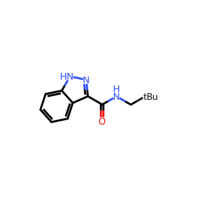 CC(C)(C)CNC(=O)c1n[nH]c2ccccc12